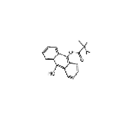 CCC(C)(C)C(=O)Oc1c2ccccc2c(O)c2ccccc12